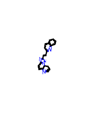 c1ccc2nc(CCc3nc4ccc5ncccc5n4n3)ccc2c1